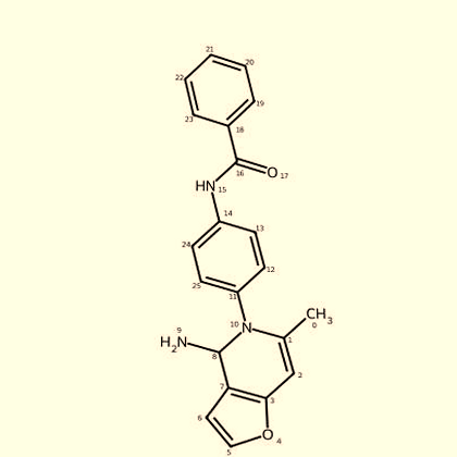 CC1=Cc2occc2C(N)N1c1ccc(NC(=O)c2ccccc2)cc1